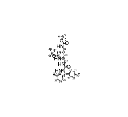 CC(C)(C)OC(=O)NCCC[C@@H](CNC(=O)c1[nH]c2c(F)cccc2c1-c1ccc(F)cc1)NC(=O)OC(C)(C)C